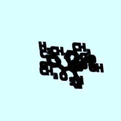 COc1cc(C(=O)c2c(-c3nccs3)oc3c(OP(=O)(O)O)c(C)ccc23)cc(C)c1C